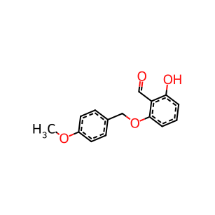 COc1ccc(COc2cccc(O)c2C=O)cc1